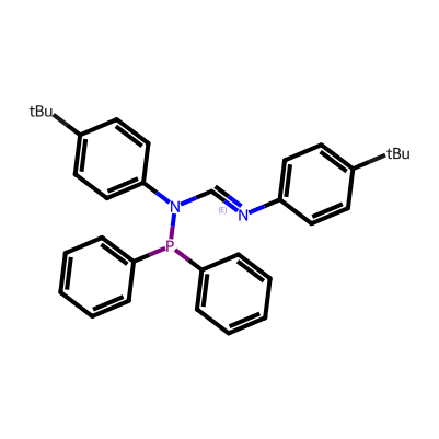 CC(C)(C)c1ccc(/N=C/N(c2ccc(C(C)(C)C)cc2)P(c2ccccc2)c2ccccc2)cc1